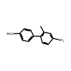 COc1ccc(-c2ccc(N)cc2C)cc1